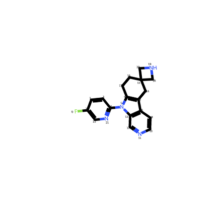 Fc1ccc(-n2c3c(c4ccncc42)CC2(CC3)CNC2)nc1